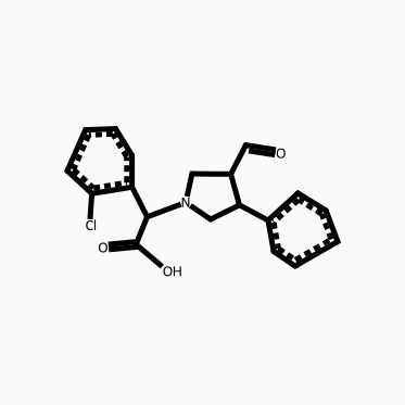 O=CC1CN(C(C(=O)O)c2ccccc2Cl)CC1c1ccccc1